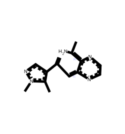 C=C(/C=c1/nccn/c1=C(\C)N)c1cnn(C)c1C